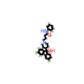 O=C(CCCN1CCC(C(O)(c2ccc(F)cc2)c2ccc(F)cc2)CC1)Nc1ccccc1